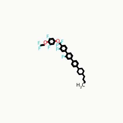 C=CCCC1CCC(c2ccc(-c3ccc(-c4ccc(C(F)(F)Oc5cc(F)c(OC=C(F)F)c(F)c5)c(F)c4)c(F)c3)cc2)CC1